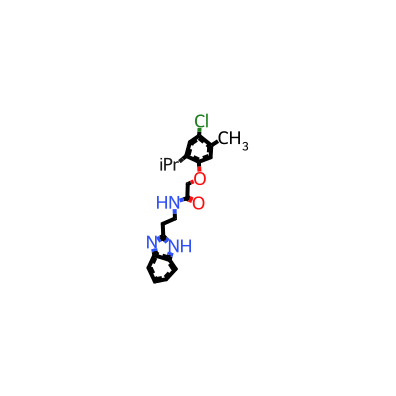 Cc1cc(OCC(=O)NCCc2nc3ccccc3[nH]2)c(C(C)C)cc1Cl